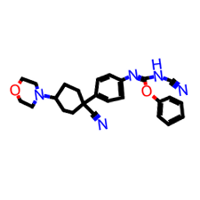 N#CN/C(=N/c1ccc(C2(C#N)CCC(N3CCOCC3)CC2)cc1)Oc1ccccc1